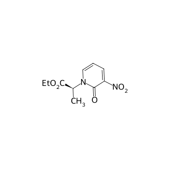 CCOC(=O)[C@H](C)n1cccc([N+](=O)[O-])c1=O